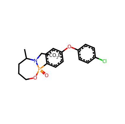 CCOC(=O)CN1C(C)CCCOP1(=O)c1ccc(Oc2ccc(Cl)cc2)cc1